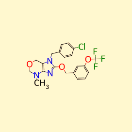 CN1COCc2c1nc(OCc1cccc(OC(F)(F)F)c1)n2Cc1ccc(Cl)cc1